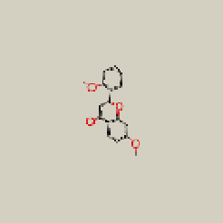 COc1ccc2c(=O)cc(-c3ccccc3OC)oc2c1